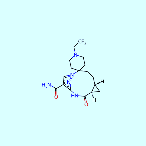 NC(=O)c1cn2nc1NC(=O)[C@@H]1C[C@H]1CCC21CCN(CC(F)(F)F)CC1